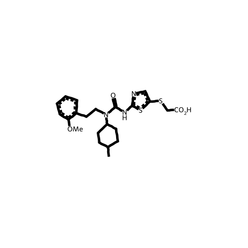 COc1ccccc1CCN(C(=O)Nc1ncc(SCC(=O)O)s1)C1CCC(C)CC1